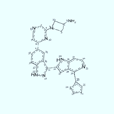 NC1CN(c2cncc(-c3ccc4[nH]nc(-c5cc6c(-c7cccs7)nccc6[nH]5)c4c3)n2)C1